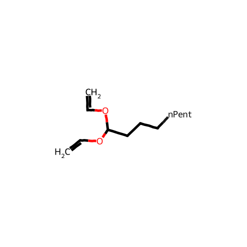 C=COC(CCCCCCCC)OC=C